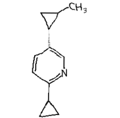 CC1C[C@H]1c1ccc(C2CC2)nc1